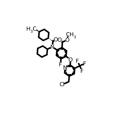 COC(=O)c1cc(Oc2ncc(CCl)cc2C(F)(F)F)c(F)cc1N(C(=O)[C@H]1CC[C@H](C)CC1)C1CCCCC1